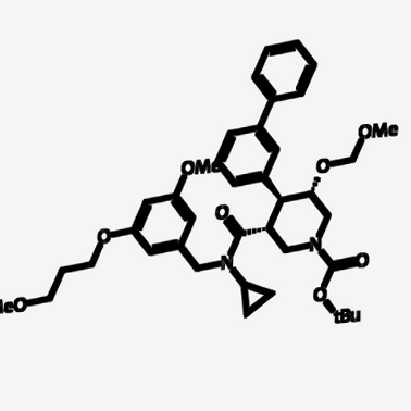 COCCCOc1cc(CN(C(=O)[C@H]2CN(C(=O)OC(C)(C)C)C[C@@H](OCOC)[C@@H]2c2cccc(-c3ccccc3)c2)C2CC2)cc(OC)c1